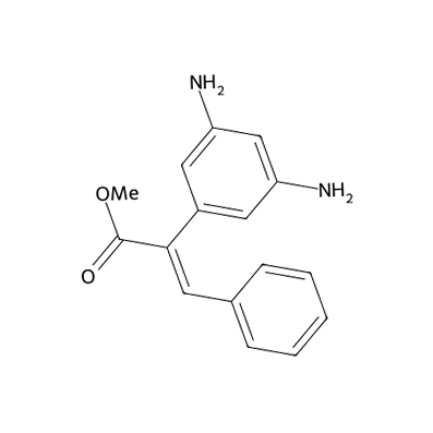 COC(=O)C(=Cc1ccccc1)c1cc(N)cc(N)c1